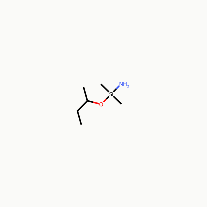 CCC(C)O[Si](C)(C)N